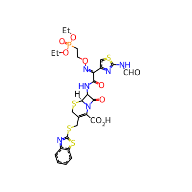 CCOP(=O)(CCON=C(C(=O)NC1C(=O)N2C(C(=O)O)=C(CSc3nc4ccccc4s3)CS[C@@H]12)c1csc(NC=O)n1)OCC